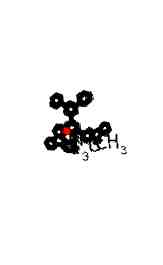 CC1(C)c2ccccc2-c2cc3c4cc(-c5cc(-c6ccccc6)cc(-c6ccccc6)c5)ccc4n(-c4cccc5c6ccccc6c6ccccc6c45)c3cc21